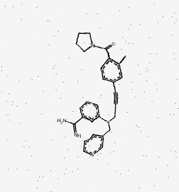 Cc1cc(C#CCN(Cc2cccnc2)c2cccc(C(=N)N)c2)ccc1C(=O)N1CCCC1